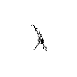 C/C=C\C=C(/C)CCCC1=C(I)CCC(c2ccc3c(CCCCCCC)cc(CCCOCCC)nc3n2)=C1